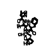 Cc1cc(C(=O)NC(C(=O)N[C@@H](Cc2ccccc2)C(=O)N[C@H](C=O)C[C@@H]2CCNC2=O)C(C)C)no1